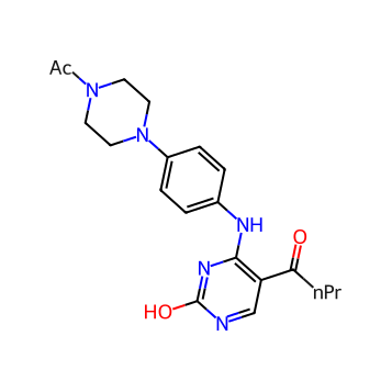 CCCC(=O)c1cnc(O)nc1Nc1ccc(N2CCN(C(C)=O)CC2)cc1